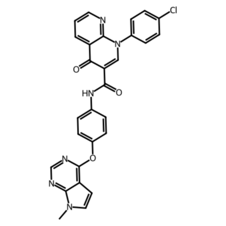 Cn1ccc2c(Oc3ccc(NC(=O)c4cn(-c5ccc(Cl)cc5)c5ncccc5c4=O)cc3)ncnc21